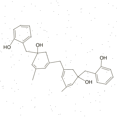 CC1=CC(O)(Cc2ccccc2O)CC(CC2=CC(C)=CC(O)(Cc3ccccc3O)C2)=C1